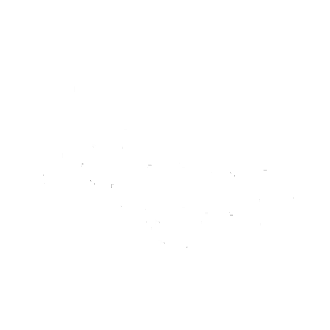 CCOc1c(OC)nc2ccc(C(O)(c3ccc(C(F)(F)F)nc3)c3ccnn3C)cc2c1Cl